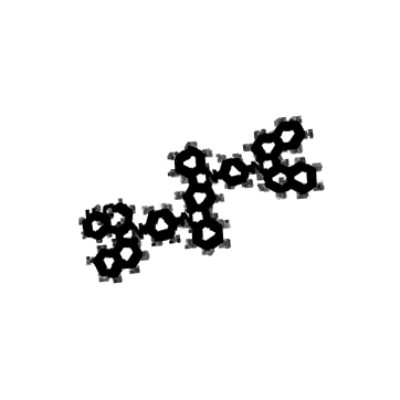 C/C=C\c1c(-c2ccccc2)c2c3ccccc3ccc2n1-c1ccc(-n2c3ccccc3c3cc4c(cc32)c2ccccc2n4-c2ccc(-n3c4ccc5ccccc5c4c4c5ccccc5ccc43)cc2)cc1